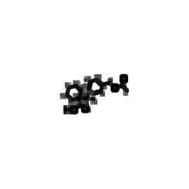 CC(=O)OCc1ccc([C@H]2CCCC[C@]2(C(=O)O)C(C)(C)C)cc1